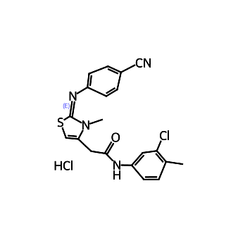 Cc1ccc(NC(=O)Cc2cs/c(=N/c3ccc(C#N)cc3)n2C)cc1Cl.Cl